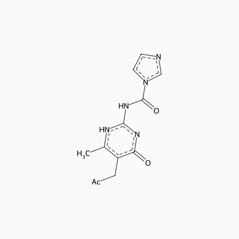 CC(=O)Cc1c(C)[nH]c(NC(=O)n2ccnc2)nc1=O